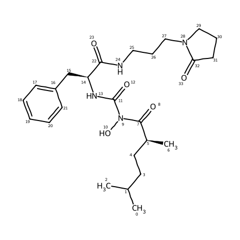 CC(C)CC[C@H](C)C(=O)N(O)C(=O)N[C@@H](Cc1ccccc1)C(=O)NCCCN1CCCC1=O